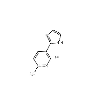 FC(F)(F)c1ccc(-c2ncc[nH]2)cn1.I